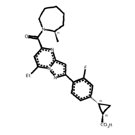 CCc1cc(C(=O)N2CCCCC[C@H]2C)nc2cc(-c3ccc([C@@H]4C[C@H]4C(=O)O)cc3F)nn12